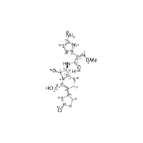 CO/N=C(\C(=O)N[C@@H]1C(=O)N2C(C(=O)O)=C(C3CCC(=O)S3)CS[C@H]12)c1csc(N)n1